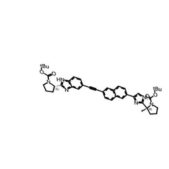 CC(C)(C)OC(=O)N1CCC[C@H]1c1nc2cc(C#Cc3ccc4cc(-c5c[nH]c([C@@]6(C)CCCN6C(=O)OC(C)(C)C)n5)ccc4c3)ccc2[nH]1